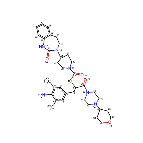 Nc1c(C(F)(F)F)cc(C[C@@H](OC(=O)N2CCC(N3CCc4ccccc4NC3=O)CC2)C(=O)N2CCN(C3CCOCC3)CC2)cc1C(F)(F)F